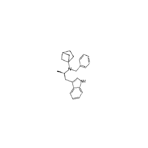 C[C@H](Cc1c[nH]c2ccccc12)N(Cc1ccccc1)C12CCC(C1)C2